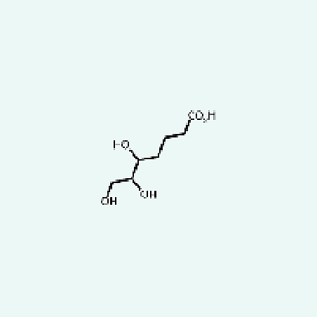 O=C(O)CCCC(O)C(O)CO